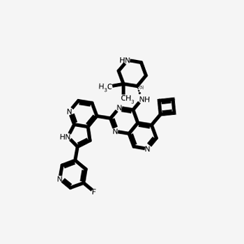 CC1(C)CNCC[C@@H]1Nc1nc(-c2ccnc3[nH]c(-c4cncc(F)c4)cc23)nc2cncc(C3=CC=C3)c12